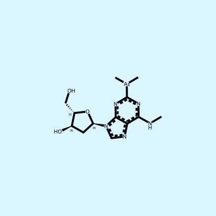 CNc1nc([As](C)C)nc2c1ncn2[C@H]1C[C@@H](O)[C@H](CO)O1